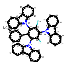 N#Cc1cccc(-c2c(-n3c4ccccc4c4ccccc43)c(F)c(-n3c4ccccc4c4ccccc43)c(F)c2-n2c3ccccc3c3ccccc32)c1